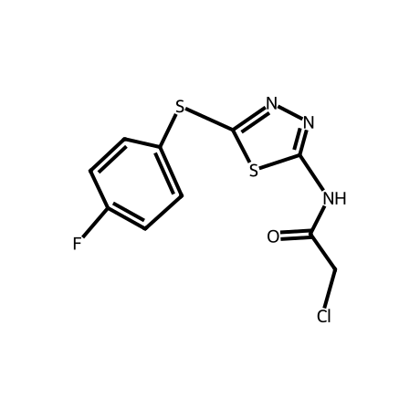 O=C(CCl)Nc1nnc(Sc2ccc(F)cc2)s1